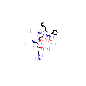 CC[C@H](C)[C@H](NC(=O)C[C@H](O)[C@H](CC(C)C)N(C(=O)[C@H](Cc1ccccc1)NC(=O)OC(C)(C)C)C(=O)[C@@H](N)Cc1cccs1)C(=O)N[C@@H](CCCNC(=N)N)C(=O)OC